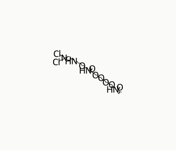 C=C(C)C(=O)NCCOCCOCCOCCOCCC(=O)NCCCOCCCNCc1ccc(N(CCCl)CCCl)cc1